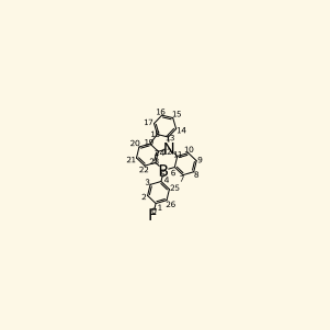 Fc1ccc(B2c3ccccc3-n3c4ccccc4c4cccc2c43)cc1